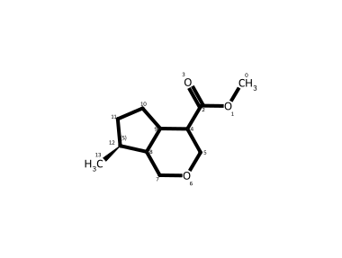 COC(=O)C1COCC2C1CC[C@@H]2C